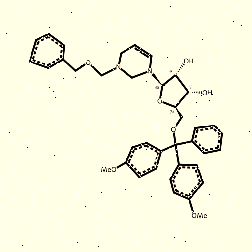 COc1ccc(C(OC[C@H]2O[C@@H](N3C=CCN(COCc4ccccc4)C3)[C@H](O)[C@@H]2O)(c2ccccc2)c2ccc(OC)cc2)cc1